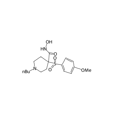 CCCCN1CCC(C(=O)NO)(S(=O)(=O)c2ccc(OC)cc2)CC1